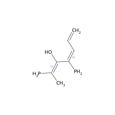 C=C/C=C(P)\C(O)=C(/C)P